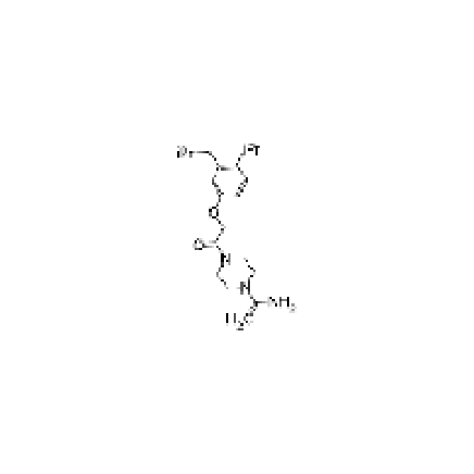 C=C(N)N1CCN(C(=O)COc2ccc(C(C)C)c(CC(C)C)c2)CC1